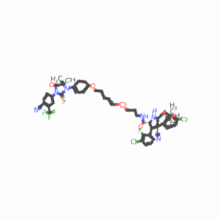 CC(C)(C)CC1N[C@@H](C(=O)NCCCOCCCCCOc2ccc(N3C(=S)N(c4ccc(C#N)c(C(F)(F)F)c4)C(=O)C3(C)C)cc2)C(c2cccc(Cl)c2F)[C@@]1(C#N)c1ccc(Cl)cc1F